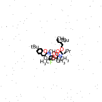 C/C=C\C(=C/COC(=O)[C@H](CC(C)C)N(C)C(=O)[C@@H](C)OC(=O)[C@H](CC(C)(C)F)N(C)C(=O)[C@@H](Cc1ccc(C(C)(C)C)cc1)OC(C)=O)C(C)(C)C